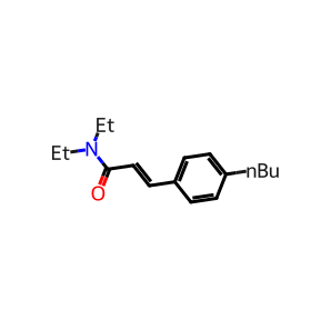 CCCCc1ccc(C=CC(=O)N(CC)CC)cc1